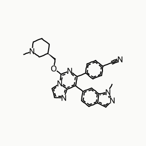 CN1CCC[C@@H](COc2nc(-c3ccc(C#N)cc3)c(-c3ccc4cnn(C)c4c3)c3nccn23)C1